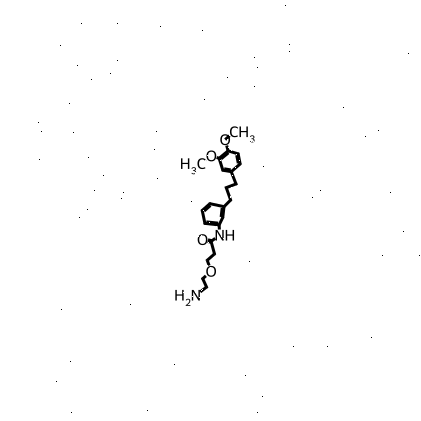 COc1ccc(CCCc2cccc(NC(=O)CCOCCN)c2)cc1OC